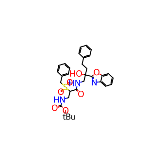 CC(C)(C)OC(=O)NCC(C(=O)NCC(O)(CCc1ccccc1)c1nc2ccccc2o1)S(=O)(=O)Cc1ccccc1